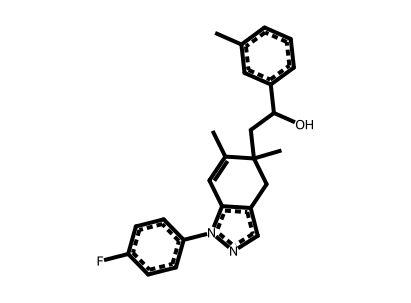 CC1=Cc2c(cnn2-c2ccc(F)cc2)CC1(C)CC(O)c1cccc(C)c1